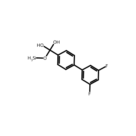 OC(O)(O[SiH3])c1ccc(-c2cc(F)cc(F)c2)cc1